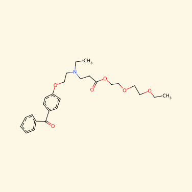 CCOCCOCCOC(=O)CCN(CC)CCOc1ccc(C(=O)c2ccccc2)cc1